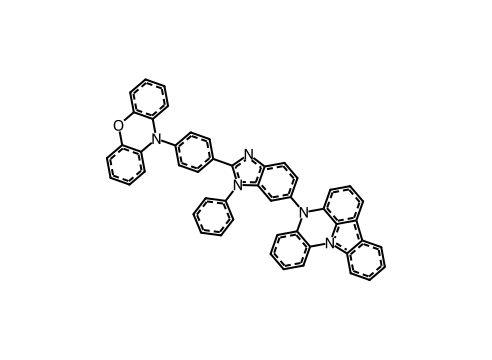 c1ccc(-n2c(-c3ccc(N4c5ccccc5Oc5ccccc54)cc3)nc3ccc(N4c5ccccc5-n5c6ccccc6c6cccc4c65)cc32)cc1